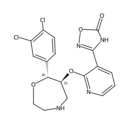 O=c1[nH]c(-c2cccnc2O[C@H]2CNCCO[C@@H]2c2ccc(Cl)c(Cl)c2)no1